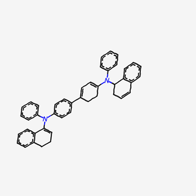 C1=Cc2ccccc2C(N(C2=CC=C(c3ccc(N(C4=CCCc5ccccc54)c4ccccc4)cc3)CC2)c2ccccc2)C1